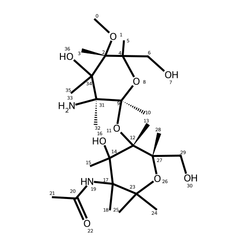 CO[C@]1(C)C(C)(CO)O[C@@](C)(O[C@@]2(C)C(C)(O)C(C)(NC(C)=O)C(C)(C)O[C@@]2(C)CO)[C@@](C)(N)C1(C)O